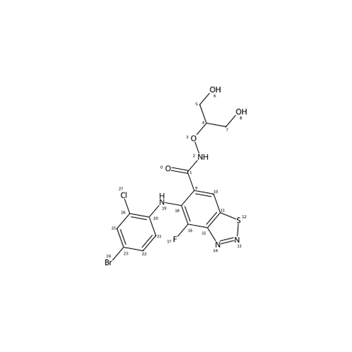 O=C(NOC(CO)CO)c1cc2snnc2c(F)c1Nc1ccc(Br)cc1Cl